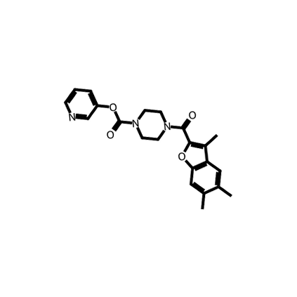 Cc1cc2oc(C(=O)N3CCN(C(=O)Oc4cccnc4)CC3)c(C)c2cc1C